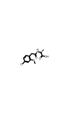 COc1cc(Cl)ccc1CC(=O)N[C@@H](C)C(=O)O